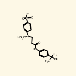 CCS(=O)(=O)c1ccc(N(CCC(=O)Nc2ccc(C(O)(C(F)(F)F)C(F)(F)F)cc2)C(=O)O)cc1